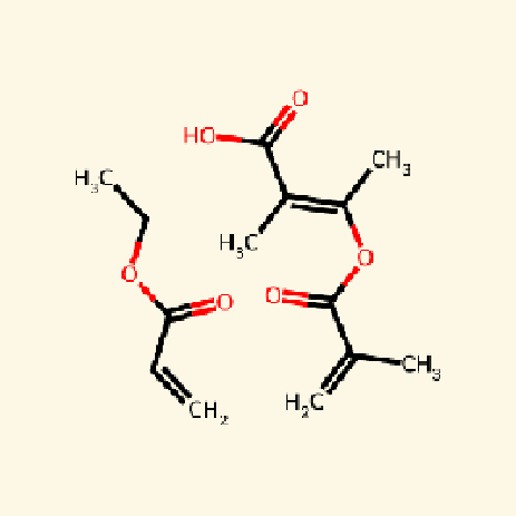 C=C(C)C(=O)OC(C)=C(C)C(=O)O.C=CC(=O)OCC